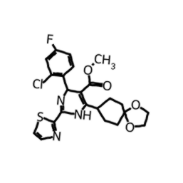 COC(=O)C1=C(C2CCC3(CC2)OCCO3)NC(c2nccs2)=NC1c1ccc(F)cc1Cl